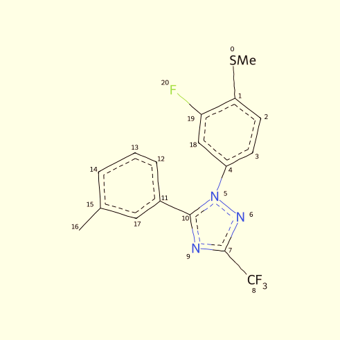 CSc1ccc(-n2nc(C(F)(F)F)nc2-c2cccc(C)c2)cc1F